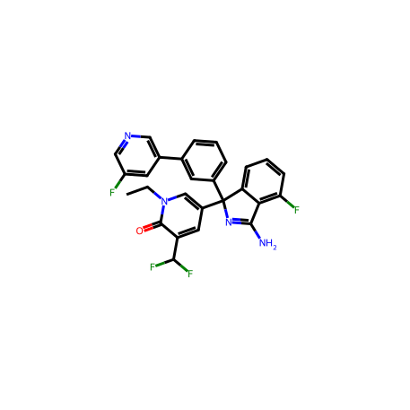 CCn1cc(C2(c3cccc(-c4cncc(F)c4)c3)N=C(N)c3c(F)cccc32)cc(C(F)F)c1=O